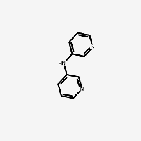 [c]1ncccc1Nc1[c]nccc1